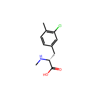 CN[C@H](Cc1ccc(C)c(Cl)c1)C(=O)O